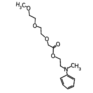 COCCOCCOCC(=O)OCCN(C)c1ccccc1